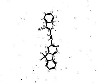 CC1(C)c2ccccc2-c2ccc(C#Cc3oc4ccccc4c3Br)cc21